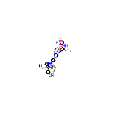 C=C(/C=C(/CNC1CCN(c2ccc(C(=O)N[C@H]3C(C)(C)[C@H](Oc4ccc(C#N)c(Cl)c4)C3(C)C)cc2)CC1)C(C)(C)C)C(=O)NC1CCC(=O)NC1=O